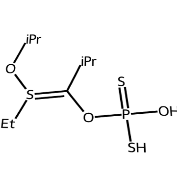 CCS(OC(C)C)=C(OP(O)(=S)S)C(C)C